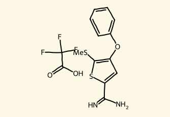 CSc1sc(C(=N)N)cc1Oc1ccccc1.O=C(O)C(F)(F)F